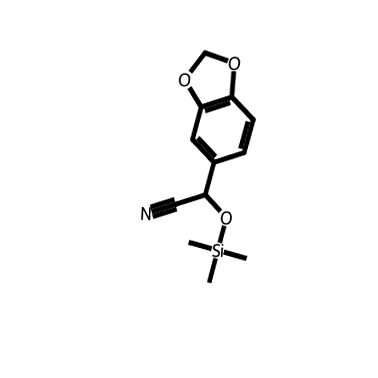 C[Si](C)(C)OC(C#N)c1ccc2c(c1)OCO2